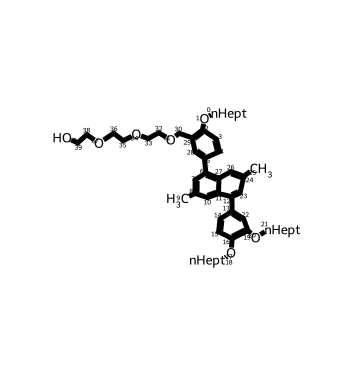 CCCCCCCOc1ccc(-c2cc(C)cc3c(-c4ccc(OCCCCCCC)c(OCCCCCCC)c4)cc(C)cc23)cc1COCCOCCOCCO